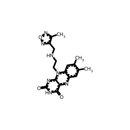 Cc1cc2nc3c(=O)[nH]c(=O)nc-3n(CCNCc3nonc3C)c2cc1C